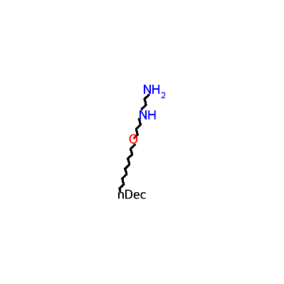 CCCCCCCCCCCCCCCCCCCCOCCCCNCCCCN